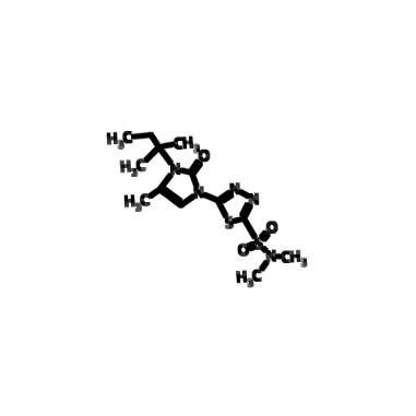 CCC(C)(C)n1c(C)cn(-c2nnc(S(=O)(=O)N(C)C)s2)c1=O